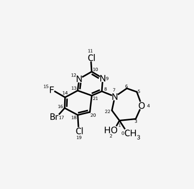 CC1(O)COCCN(c2nc(Cl)nc3c(F)c(Br)c(Cl)cc23)C1